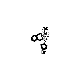 CN(C)[N+]1(C(=O)OC(C)(C)C)CCc2ccccc2CC1Sc1ccc(Br)cc1